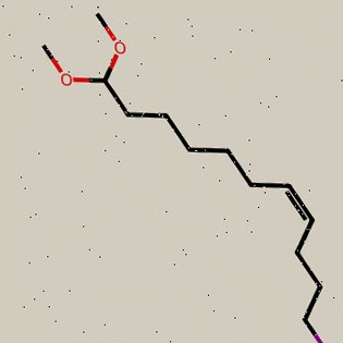 COC(CCCCC/C=C\CCCI)OC